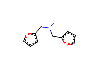 CCCCN(Cc1ccco1)Cc1ccco1